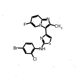 Cc1nc2ccc(F)cn2c1-c1csc(Nc2ccc(Br)cc2Cl)n1